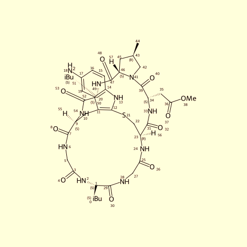 CC[C@H](C)[C@@H]1NC(=O)CNC(=O)[C@@H]2Cc3c([nH]c4ccc(N)cc34)SC[C@H](NC(=O)CNC1=O)C(=O)N[C@@H](CC(=O)OC)C(=O)N1C[C@H](C)C[C@H]1C(=O)N[C@@H]([C@@H](C)CC)C(=O)N2